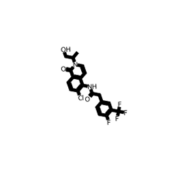 CC(CO)n1ccc2c(NC(=O)Cc3ccc(F)c(C(F)(F)F)c3)c(Cl)ccc2c1=O